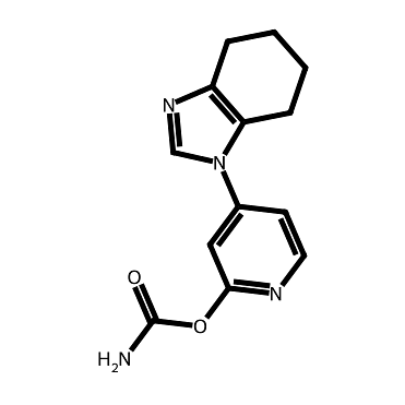 NC(=O)Oc1cc(-n2cnc3c2CCCC3)ccn1